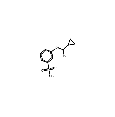 O=S(=O)(c1cccc(OC(Br)C2CC2)c1)C(F)(F)F